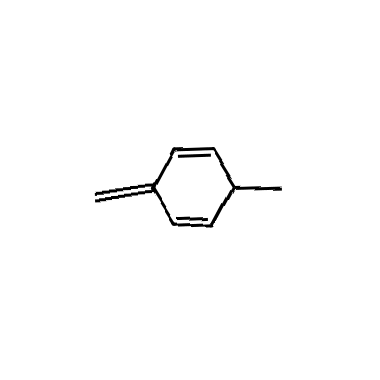 C=C1C=CC(C)C=C1